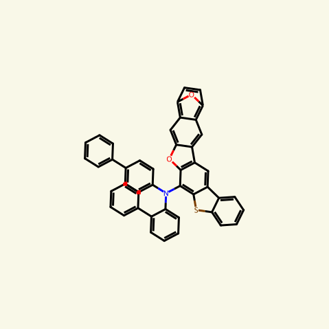 c1ccc(-c2ccc(N(c3ccccc3-c3ccccc3)c3c4oc5cc6c7ccc(o7)c6cc5c4cc4c3sc3ccccc34)cc2)cc1